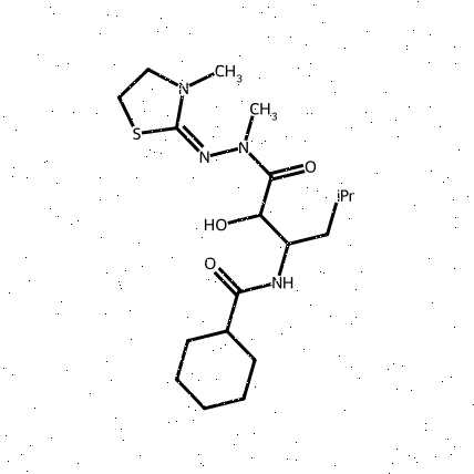 CC(C)CC(NC(=O)C1CCCCC1)C(O)C(=O)N(C)N=C1SCCN1C